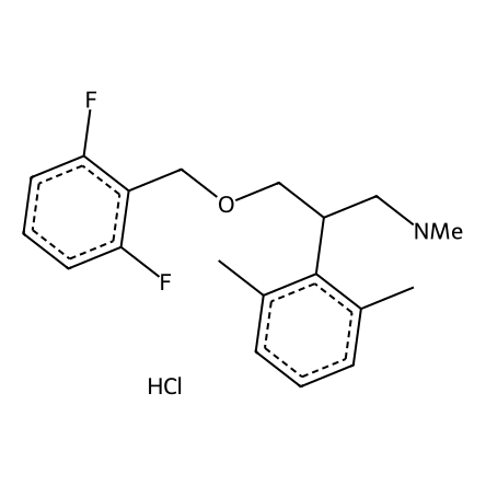 CNCC(COCc1c(F)cccc1F)c1c(C)cccc1C.Cl